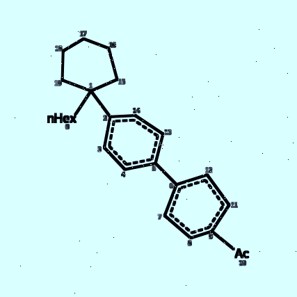 CCCCCCC1(c2ccc(-c3ccc(C(C)=O)cc3)cc2)CCCCC1